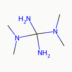 CN(C)C(N)(N)N(C)C